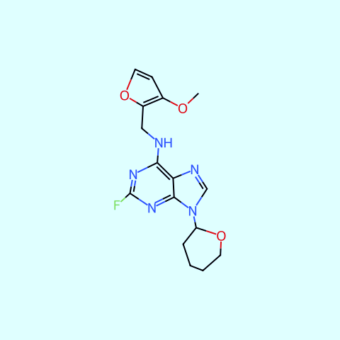 COc1ccoc1CNc1nc(F)nc2c1ncn2C1CCCCO1